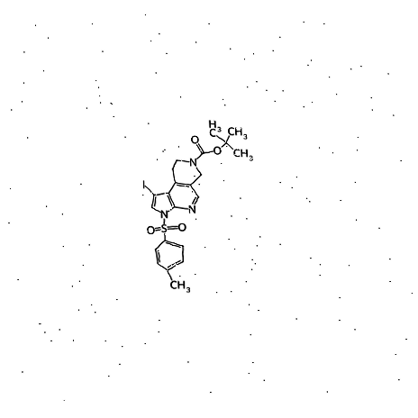 Cc1ccc(S(=O)(=O)n2cc(I)c3c4c(cnc32)CN(C(=O)OC(C)(C)C)CC4)cc1